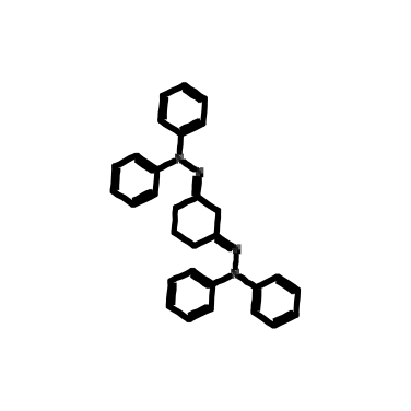 c1ccc(N(/N=C2\CCC/C(=N\N(c3ccccc3)c3ccccc3)C2)c2ccccc2)cc1